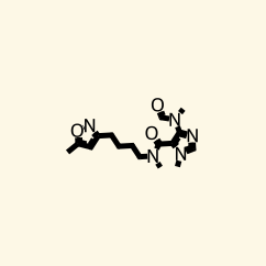 Cc1cc(CCCCN(C)C(=O)c2c(N(C)C=O)ncn2C)no1